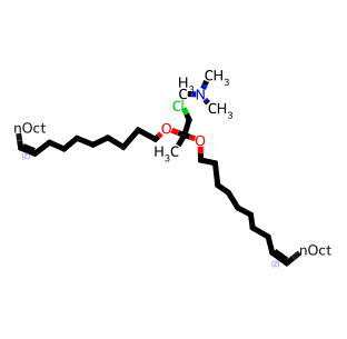 CCCCCCCC/C=C\CCCCCCCCOC(C)(CCl)OCCCCCCCC/C=C\CCCCCCCC.CN(C)C